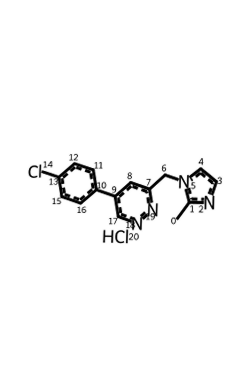 Cc1nccn1Cc1cc(-c2ccc(Cl)cc2)cnn1.Cl